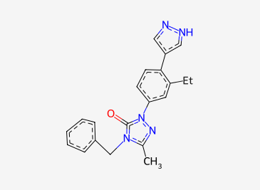 CCc1cc(-n2nc(C)n(Cc3ccccc3)c2=O)ccc1-c1cn[nH]c1